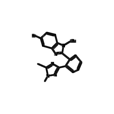 Cc1nc(-c2ccccc2-c2nc3cc(Br)ccc3n2C(C)(C)C)nn1C